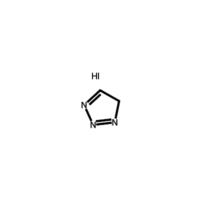 C1=NN=NC1.I